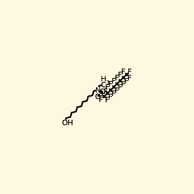 CCN(CCCCCCCCCCCO)S(=O)(=O)C(F)(F)C(F)(F)C(F)(F)C(F)(F)C(F)(F)C(F)(F)C(F)(F)C(F)(F)F